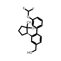 CC1(C)CCC[C@@H]1c1cc(CO)ccc1-c1cccc(OC(F)F)c1